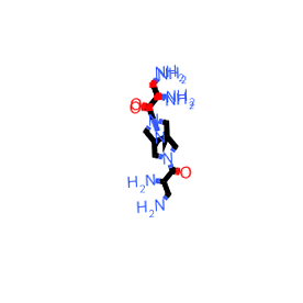 NCC(N)C(=O)N1CC23CN(C(=O)C(N)CN)CC2(C1)CN(C(=O)C(N)CN)C3